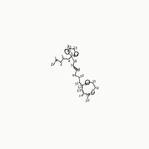 CCCCCC1(CC=CCCCC2CCC(C)OCCO2)OCCO1